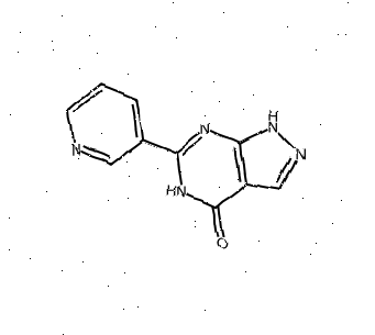 O=c1[nH]c(-c2cccnc2)nc2[nH]ncc12